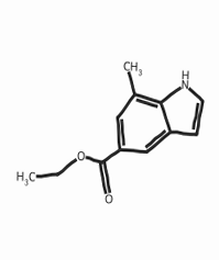 CCOC(=O)c1cc(C)c2[nH]ccc2c1